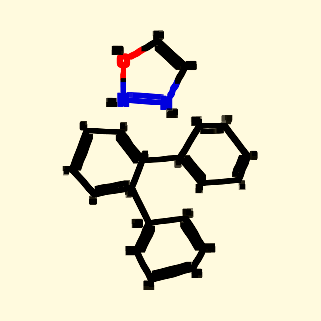 c1ccc(-c2ccccc2-c2ccccc2)cc1.c1conn1